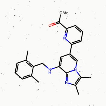 COC(=O)c1cccc(-c2cc(NCc3c(C)cccc3C)c3nc(C)c(C)n3c2)n1